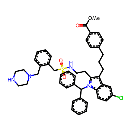 COC(=O)c1ccc(CCCc2c(CCNS(=O)(=O)Cc3ccccc3CN3CCNCC3)n(C(c3ccccc3)c3ccccc3)c3ccc(Cl)cc23)cc1